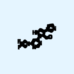 O=CC1C(n2ccnc2)=CNN1c1cc(N2CC(F)(F)C2)ncn1